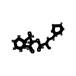 CC(CCc1ccccc1)C(=O)ON1C(=O)c2ccccc2C1=O